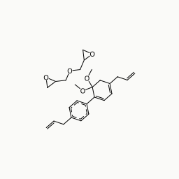 C(OCC1CO1)C1CO1.C=CCC1=CC=C(c2ccc(CC=C)cc2)C(OC)(OC)C1